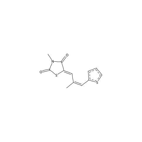 CC(=Cc1cccs1)C=C1SC(=O)N(C)C1=O